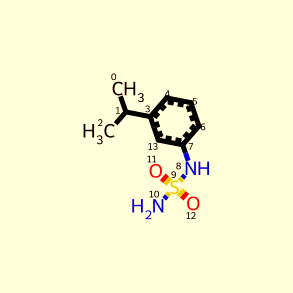 CC(C)c1cccc(NS(N)(=O)=O)c1